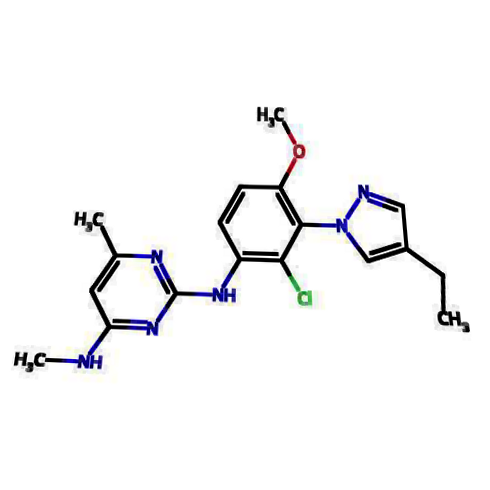 CCc1cnn(-c2c(OC)ccc(Nc3nc(C)cc(NC)n3)c2Cl)c1